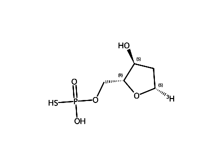 [3H][C@H]1C[C@H](O)[C@@H](COP(=O)(O)S)O1